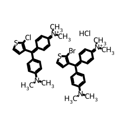 CN(C)c1ccc(C(=C2C=CC(=[N+](C)C)C=C2)c2ccsc2Br)cc1.CN(C)c1ccc(C(=C2C=CC(=[N+](C)C)C=C2)c2ccsc2Cl)cc1.Cl